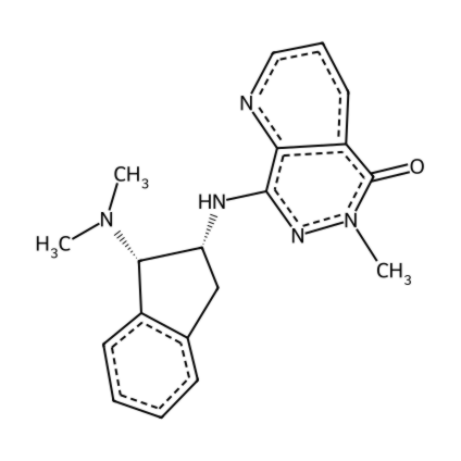 CN(C)[C@H]1c2ccccc2C[C@H]1Nc1nn(C)c(=O)c2cccnc12